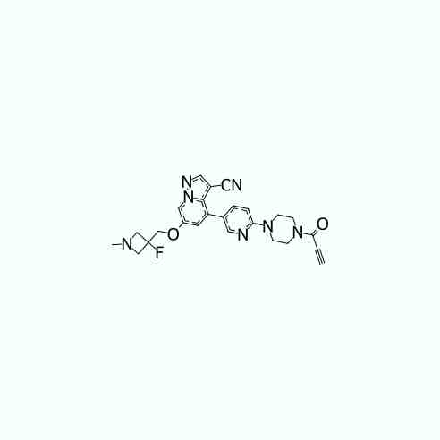 C#CC(=O)N1CCN(c2ccc(-c3cc(OCC4(F)CN(C)C4)cn4ncc(C#N)c34)cn2)CC1